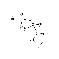 CC(C)(Br)CC(C)(C)C1OCCO1